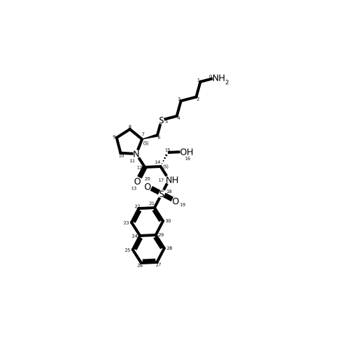 NCCCCSC[C@@H]1CCCN1C(=O)[C@H](CO)NS(=O)(=O)c1ccc2ccccc2c1